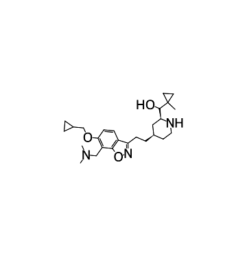 CN(C)Cc1c(OCC2CC2)ccc2c(CC[C@@H]3CCN[C@H](C(O)C4(C)CC4)C3)noc12